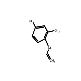 C=CNc1ccc(O)cc1C